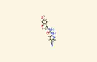 COc1ccc2c(c1)OCC1C(NC(=O)Nc3ccc(C#N)cn3)C21